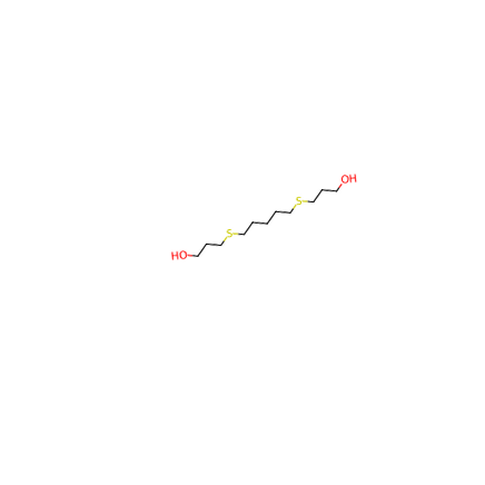 OCCCSCCCCCSCCCO